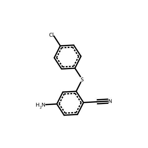 N#Cc1ccc(N)cc1Sc1ccc(Cl)cc1